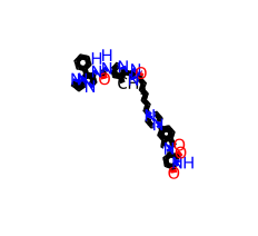 Cc1cc(NC(=O)Nc2cnc3ccnn3c2C2CCCCC2)cnc1-c1noc(CCCCCCN2CCN(c3ccc4c(c3)CN(C3CCC(=O)NC3=O)C4=O)CC2)n1